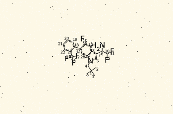 CC(C)(C)Cn1cc(C(N)C(F)F)c2cc(F)c(-c3ccccc3C(F)(F)F)cc21